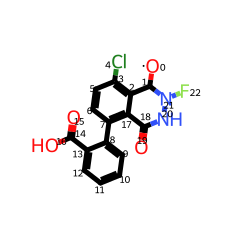 [O]C1c2c(Cl)ccc(-c3ccccc3C(=O)O)c2C(=O)NN1F